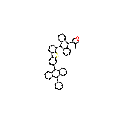 Cc1cocc1-c1c2ccccc2c(-c2cccc3c2sc2cc(-c4c5ccccc5c(-c5ccccc5)c5ccccc45)ccc23)c2ccccc12